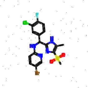 Cc1[nH]c(C(Nc2ccc(Br)cn2)c2ccc(F)c(Cl)c2)nc1S(C)(=O)=O